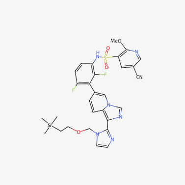 COc1ncc(C#N)cc1S(=O)(=O)Nc1ccc(F)c(-c2ccc3c(-c4nccn4COCC[Si](C)(C)C)ncn3c2)c1F